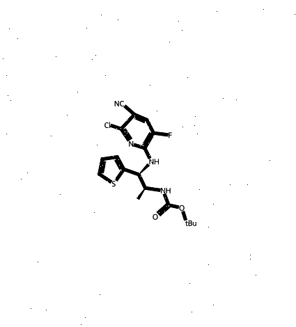 C[C@H](NC(=O)OC(C)(C)C)[C@H](Nc1nc(Cl)c(C#N)cc1F)c1cccs1